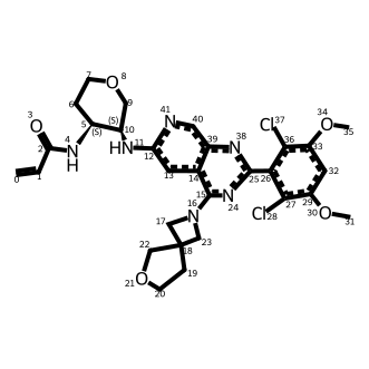 C=CC(=O)N[C@H]1CCOC[C@H]1Nc1cc2c(N3CC4(CCOC4)C3)nc(-c3c(Cl)c(OC)cc(OC)c3Cl)nc2cn1